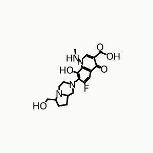 CNn1cc(C(=O)O)c(=O)c2cc(F)c(N3CCN4C(CO)CCC4C3)c(O)c21